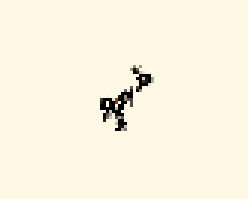 N#Cc1cccc(COc2ccc(C(F)(F)C(O)(Cn3ncnn3)c3ccc(F)cc3F)nc2)c1